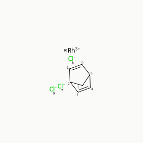 C1=CC2C=CC1C2.[Cl-].[Cl-].[Cl-].[Rh+3]